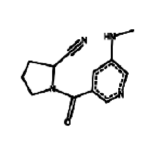 CNc1cncc(C(=O)N2CCCC2C#N)c1